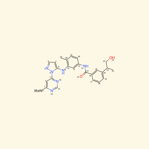 CNc1cc(-n2nccc2Nc2cc(NC(=O)c3cccc(C(C)CO)c3)ccc2C)ncn1